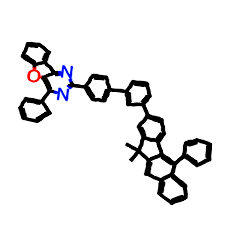 CC1(C)c2cc(-c3cccc(-c4ccc(-c5nc(-c6ccccc6)c6oc7ccccc7c6n5)cc4)c3)ccc2-c2c1cc1ccccc1c2-c1ccccc1